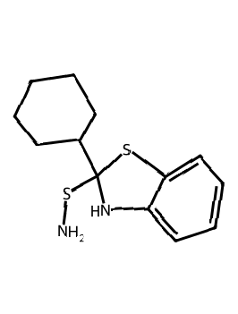 NSC1(C2CCCCC2)Nc2ccccc2S1